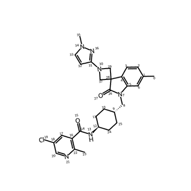 Cc1ccc2c(c1)N(C[C@H]1CC[C@H](NC(=O)c3cc(Cl)cnc3C)CC1)C(=O)C21CN(c2ccn(C)n2)C1